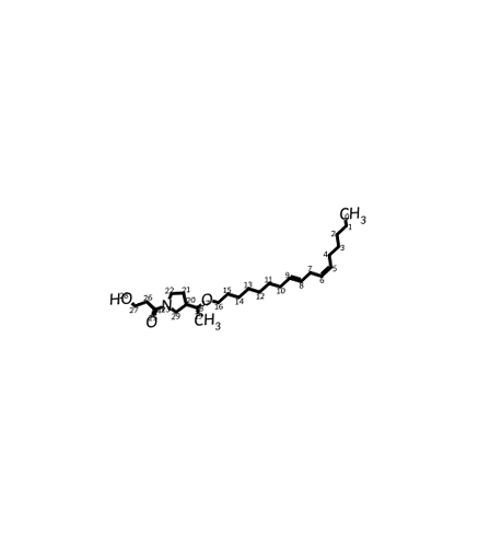 CCCCC/C=C\C/C=C/CCCCCCCOC(C)C1CCN(C(=O)CCO)C1